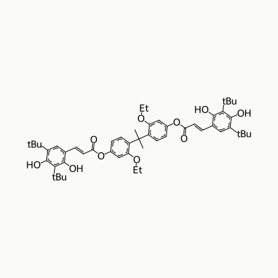 CCOc1cc(OC(=O)C=Cc2cc(C(C)(C)C)c(O)c(C(C)(C)C)c2O)ccc1C(C)(C)c1ccc(OC(=O)C=Cc2cc(C(C)(C)C)c(O)c(C(C)(C)C)c2O)cc1OCC